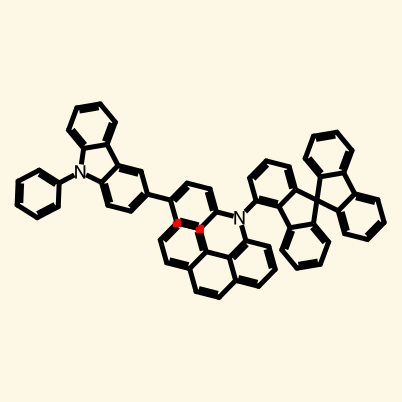 c1ccc(-n2c3ccccc3c3cc(-c4ccc(N(c5cccc6c5-c5ccccc5C65c6ccccc6-c6ccccc65)c5cccc6ccc7ccccc7c56)cc4)ccc32)cc1